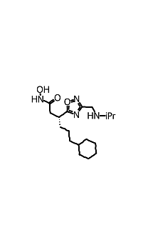 CC(C)NCc1noc([C@H](CCCC2CCCCC2)CC(=O)NO)n1